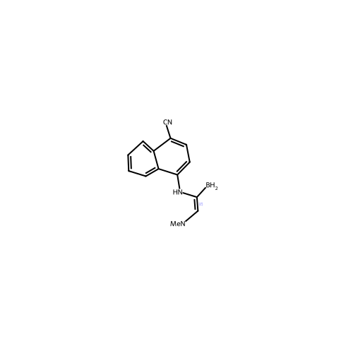 B/C(=C/NC)Nc1ccc(C#N)c2ccccc12